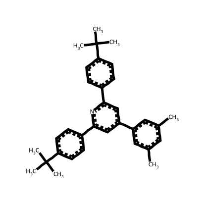 Cc1cc(C)cc(-c2cc(-c3ccc(C(C)(C)C)cc3)nc(-c3ccc(C(C)(C)C)cc3)c2)c1